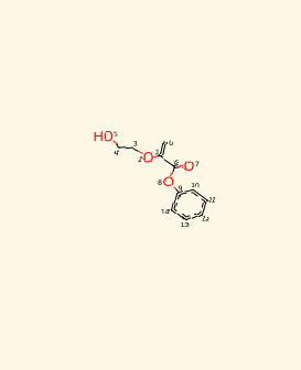 C=C(OCCO)C(=O)Oc1ccccc1